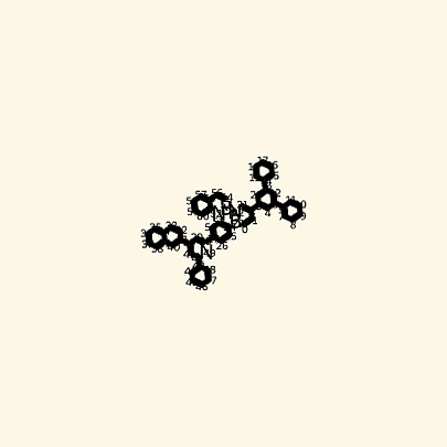 C1=CC(c2cc(-c3ccccc3)cc(-c3ccccc3)c2)=CN2B1c1ccc(-c3cc(-c4ccc5ccccc5c4)cc(-c4ccccc4)n3)cc1N1B2C=Cc2ccccc21